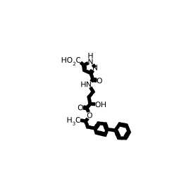 CC(Cc1ccc(-c2ccccc2)cc1)OC(=O)C(O)CCNC(=O)c1cc(C(=O)O)[nH]n1